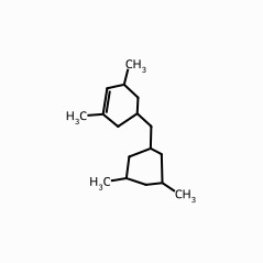 CC1=CC(C)CC(CC2CC(C)CC(C)C2)C1